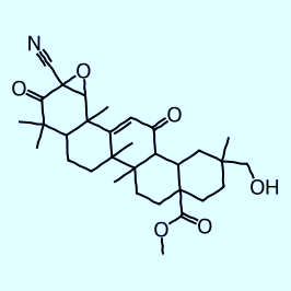 COC(=O)C12CCC(C)(CO)CC1C1C(=O)C=C3C4(C)C(CCC3(C)C1(C)CC2)C(C)(C)C(=O)C1(C#N)OC14